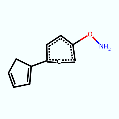 NOc1ccc(C2=CC=CC2)cc1